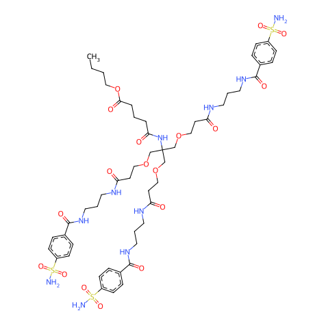 CCCCOC(=O)CCCC(=O)NC(COCCC(=O)NCCCNC(=O)c1ccc(S(N)(=O)=O)cc1)(COCCC(=O)NCCCNC(=O)c1ccc(S(N)(=O)=O)cc1)COCCC(=O)NCCCNC(=O)c1ccc(S(N)(=O)=O)cc1